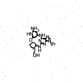 CC(C)n1cnc2c(Nc3cc(N)[nH]c(=O)c3)nc(N[C@@H]3CCCC[C@H]3CCO)nc21